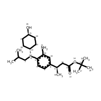 CC(C)CN(c1ccc([C@H](C)CC(=O)OC(C)(C)C)cc1N)[C@H]1CC[C@H](O)CC1